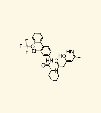 CC(=N)/C=C(\O)CC(=O)N1CCCCC1C(=O)Nc1ccc(-c2ccccc2OC(F)(F)F)c(Cl)c1